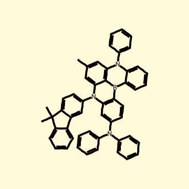 Cc1cc2c3c(c1)N(c1ccc4c(c1)-c1ccccc1C4(C)C)c1cc(N(c4ccccc4)c4ccccc4)ccc1B3c1ccccc1N2c1ccccc1